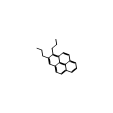 CCCc1cc2ccc3cccc4ccc(c1CCC)c2c34